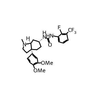 COc1ccc([C@@]23CC[C@@H](NC(=O)Nc4cccc(C(F)(F)F)c4F)C[C@@H]2N(C)CC3)cc1OC